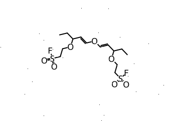 CCC(/C=C/O/C=C/C(CC)OCCS(=O)(=O)F)OCCS(=O)(=O)F